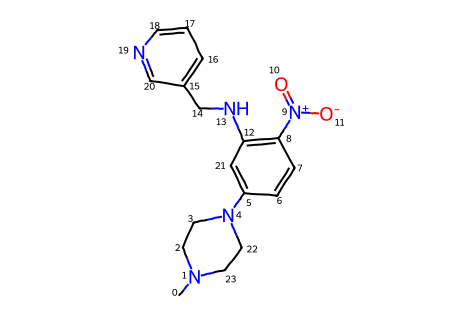 CN1CCN(c2ccc([N+](=O)[O-])c(NCc3cccnc3)c2)CC1